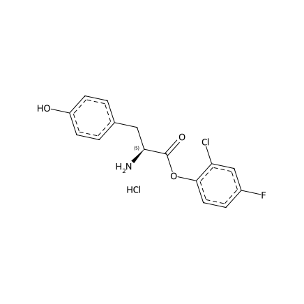 Cl.N[C@@H](Cc1ccc(O)cc1)C(=O)Oc1ccc(F)cc1Cl